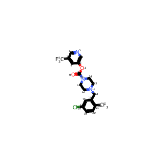 O=C(Oc1cncc(C(F)(F)F)c1)N1CCN(Cc2cc(Cl)ccc2C(F)(F)F)CC1